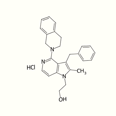 Cc1c(Cc2ccccc2)c2c(N3CCc4ccccc4C3)nccc2n1CCO.Cl